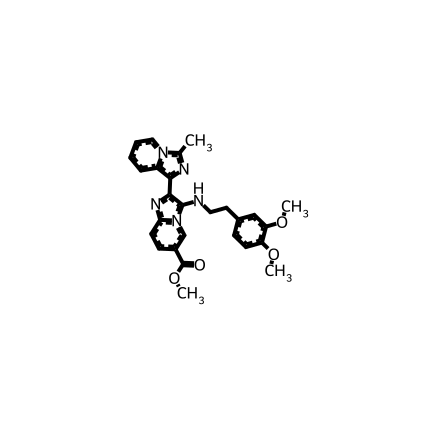 COC(=O)c1ccc2nc(-c3nc(C)n4ccccc34)c(NCCc3ccc(OC)c(OC)c3)n2c1